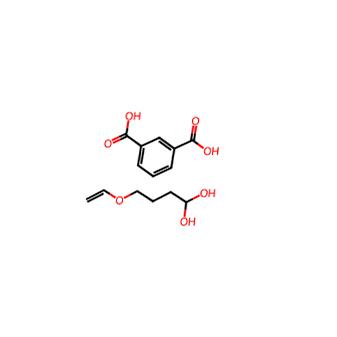 C=COCCCC(O)O.O=C(O)c1cccc(C(=O)O)c1